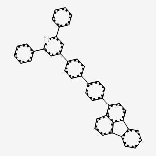 c1ccc(-c2cc(-c3ccc(-c4ccc(-c5ccc6c7c(cccc57)-c5ccccc5-6)cc4)cc3)cc(-c3ccccc3)n2)cc1